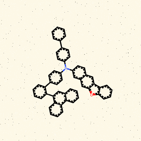 c1ccc(-c2ccc(N(c3ccc(-c4ccccc4-c4cc5ccccc5c5ccccc45)cc3)c3ccc4cc5c(cc4c3)oc3ccccc35)cc2)cc1